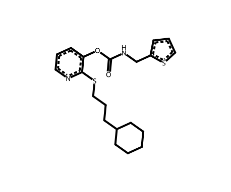 O=C(NCc1cccs1)Oc1cccnc1SCCCC1CCCCC1